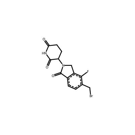 O=C1CCC(N2Cc3c(ccc(CBr)c3F)C2=O)C(=O)N1